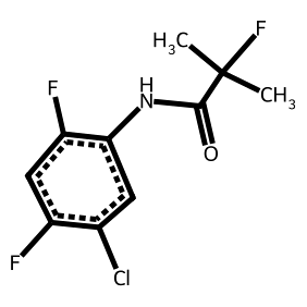 CC(C)(F)C(=O)Nc1cc(Cl)c(F)cc1F